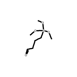 CO[Si](CCC[C]=O)(OC)OC